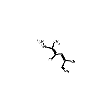 C/C(NN)=C(Cl)\C=C(\Br)C=N